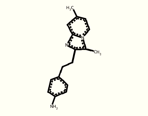 Cc1ccn2c(C)c(CCc3ccc(N)cc3)nc2c1